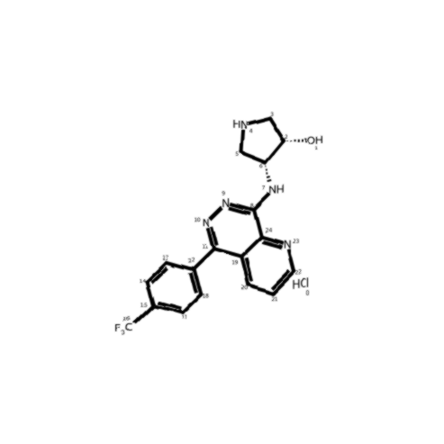 Cl.O[C@H]1CNC[C@H]1Nc1nnc(-c2ccc(C(F)(F)F)cc2)c2cccnc12